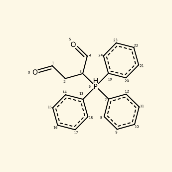 O=CCC(C=O)[PH](c1ccccc1)(c1ccccc1)c1ccccc1